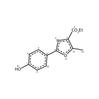 CCOC(=O)c1nc(-c2ccc(O)cc2)oc1C